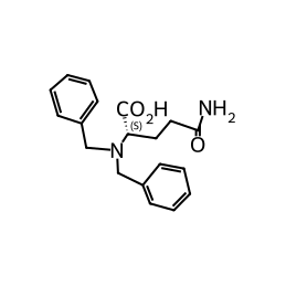 NC(=O)CC[C@@H](C(=O)O)N(Cc1ccccc1)Cc1ccccc1